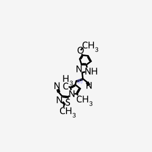 COc1ccc2[nH]c(/C(C#N)=C/c3cc(C)n(-c4sc(C)nc4C#N)c3C)nc2c1